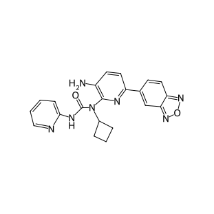 Nc1ccc(-c2ccc3nonc3c2)nc1N(C(=O)Nc1ccccn1)C1CCC1